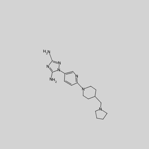 Nc1nc(N)n(-c2ccc(N3CCC(CN4CCCC4)CC3)nc2)n1